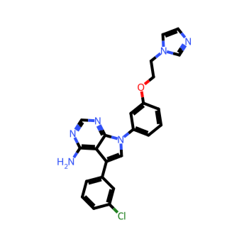 Nc1ncnc2c1c(-c1cccc(Cl)c1)cn2-c1cccc(OCCn2ccnc2)c1